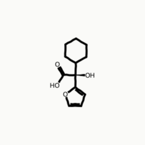 O=C(O)[C@@](O)(c1ccco1)C1CCCCC1